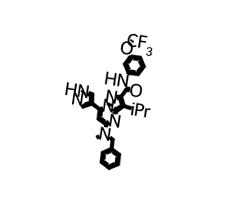 CC(C)c1c(C(=O)Nc2cccc(OC(F)(F)F)c2)nn2c(-c3cn[nH]c3)cc(N(C)Cc3ccccc3)nc12